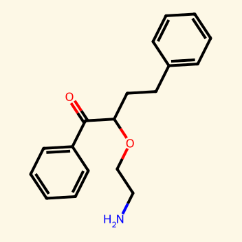 NCCOC(CCc1ccccc1)C(=O)c1ccccc1